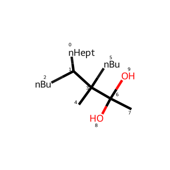 CCCCCCCC(CCCC)C(C)(CCCC)C(C)(O)O